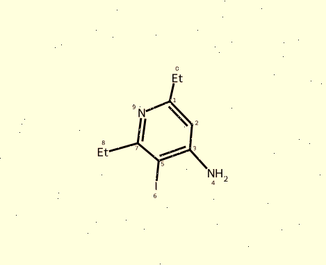 CCc1cc(N)c(I)c(CC)n1